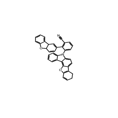 N#Cc1cccc(-n2c3ccccc3c3c4oc5c(c4ccc32)CCC=C5)c1C1=CC2c3ccccc3OC2C=C1